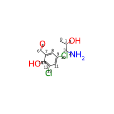 CC(O)CN.O=Cc1cc(Cl)cc(Cl)c1O